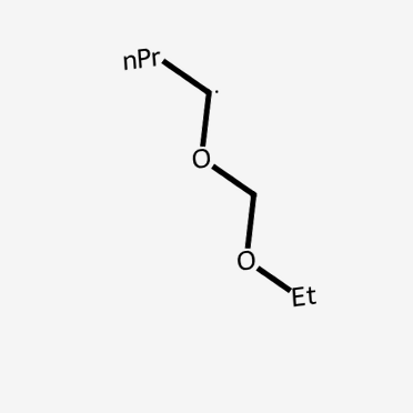 CCC[CH]OCOCC